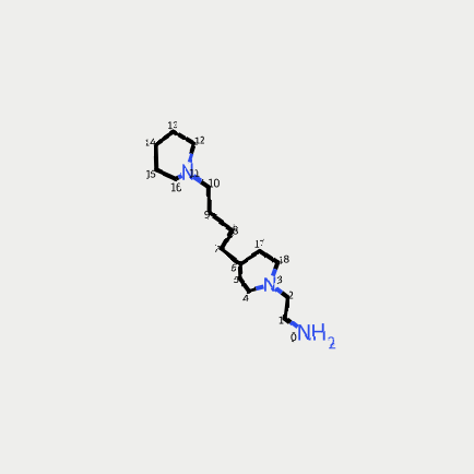 NCCN1CCC(CCCCN2CCCCC2)CC1